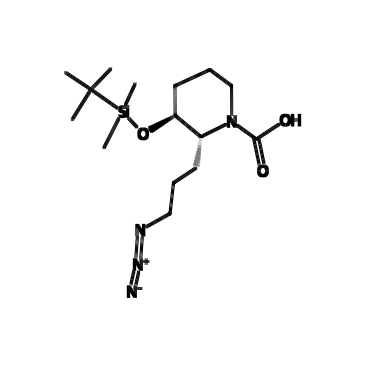 CC(C)(C)[Si](C)(C)O[C@H]1CCCN(C(=O)O)[C@@H]1CCCN=[N+]=[N-]